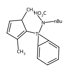 CCCC[N](C(=O)O)[Ti]1([C]2=C(C)C=CC2C)[c]2cccc[c]21